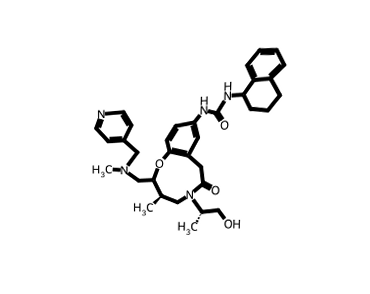 C[C@@H]1CN([C@@H](C)CO)C(=O)Cc2cc(NC(=O)NC3CCCc4ccccc43)ccc2OC1CN(C)Cc1ccncc1